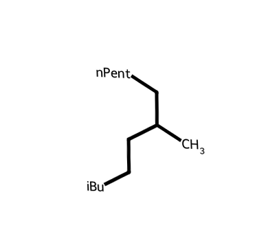 [CH2]CCCCCC(C)CCC(C)CC